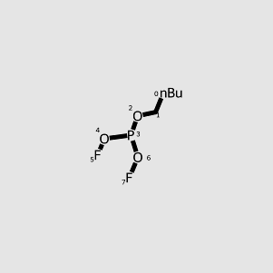 CCCCCOP(OF)OF